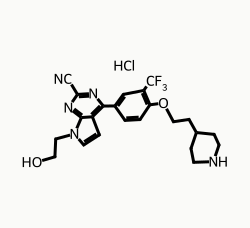 Cl.N#Cc1nc(-c2ccc(OCCC3CCNCC3)c(C(F)(F)F)c2)c2ccn(CCO)c2n1